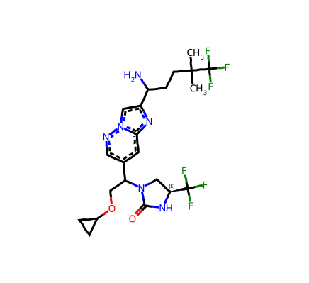 CC(C)(CCC(N)c1cn2ncc(C(COC3CC3)N3C[C@@H](C(F)(F)F)NC3=O)cc2n1)C(F)(F)F